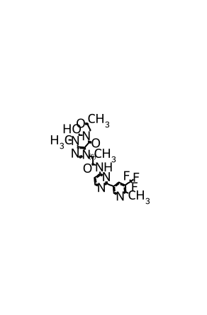 CC(=O)CN1C(=O)c2c(ncn2[C@@H](C)C(=O)Nc2ccnc(-c3cnc(C)c(C(F)(F)F)c3)n2)N(C)C1O